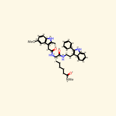 CNC(=O)CCCCC[C@H](NC(=O)Cc1c(C)[nH]c2ccc(OC)cc12)C(=O)NCCc1c(-c2ccccc2)[nH]c2ccccc12